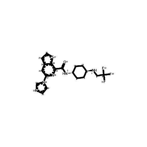 O=C(N[C@H]1CC[C@H](NCC(F)(F)F)CC1)c1nc(-n2ccnc2)cc2ccsc12